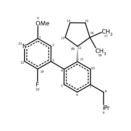 COc1cc(-c2ccc(CC(C)C)cc2[C@@H]2CCCC2(C)C)c(F)cn1